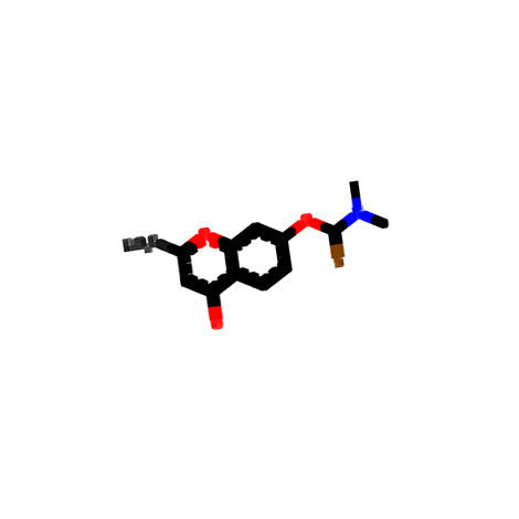 CCOC(=O)c1cc(=O)c2ccc(OC(=S)N(C)C)cc2o1